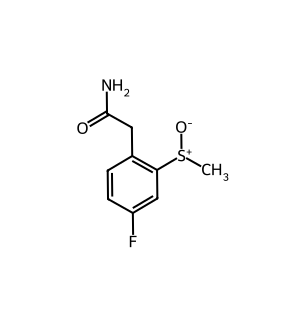 C[S+]([O-])c1cc(F)ccc1CC(N)=O